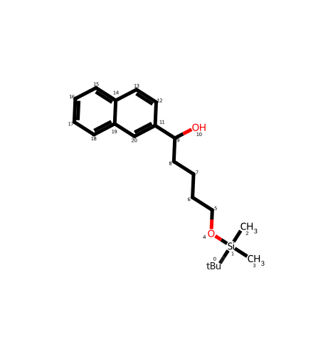 CC(C)(C)[Si](C)(C)OCCCCC(O)c1ccc2ccccc2c1